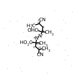 CC(C#N)CC(C)(C=O)N=NC(C)(CC(C)C#N)C(=O)O